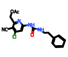 CC(=O)OCc1nc(NC(=O)NCCc2ccccc2)cc(Cl)c1C#N